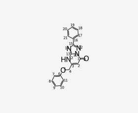 O=c1cc(COc2ccccc2)[nH]c2nc(-c3ccccc3)nn12